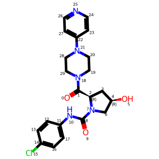 O=C([C@H]1C[C@@H](O)CN1C(=O)Nc1ccc(Cl)cc1)N1CCN(c2ccncc2)CC1